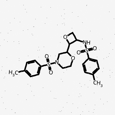 Cc1ccc(S(=O)(=O)NC2COC2C2CN(S(=O)(=O)c3ccc(C)cc3)CCO2)cc1